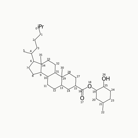 CC(C)CCCC(C)C1CCC2C3CCC4CC(C(=O)OC5CC(C)CCC5O)CCC4(C)C3CCC12C